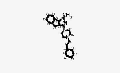 Cn1nc(N2CCN(CCc3ccccc3)CC2)c2c1-c1ccccc1C2